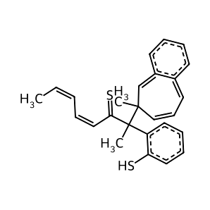 C/C=C\C=C/C(=S)C(C)(c1ccccc1S)C1(C)C=CC=c2ccccc2=C1